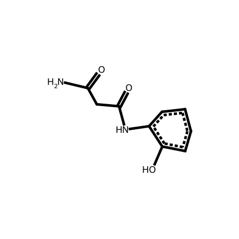 NC(=O)CC(=O)Nc1ccccc1O